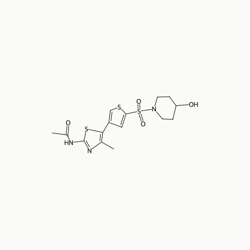 CC(=O)Nc1nc(C)c(-c2csc(S(=O)(=O)N3CCC(O)CC3)c2)s1